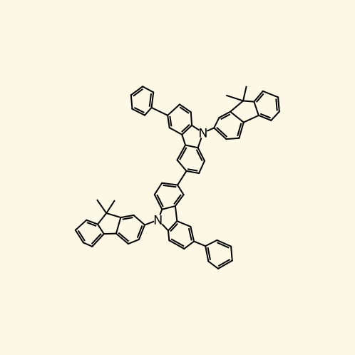 CC1(C)c2ccccc2-c2ccc(-n3c4ccc(-c5ccccc5)cc4c4cc(-c5ccc6c(c5)c5cc(-c7ccccc7)ccc5n6-c5ccc6c(c5)C(C)(C)c5ccccc5-6)ccc43)cc21